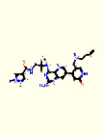 C=CCCN(C)Cc1c[nH]c(=O)cc1-c1cnc2c(NC(C)(CCCC)CNC(=O)c3cnn(C)c3)nc(N)nc2c1